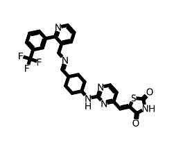 O=C1NC(=O)/C(=C/c2ccnc(NC3CCC(C=NCc4cccnc4-c4cccc(C(F)(F)F)c4)CC3)n2)S1